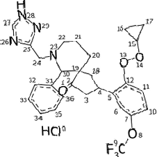 Cl.O=C1CC(c2cc(OC(F)(F)F)ccc2OOC2CC2)CC12CCCN(Cc1nc[nH]n1)C2c1ccccc1